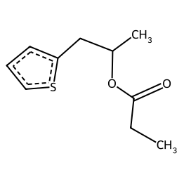 CCC(=O)OC(C)Cc1cccs1